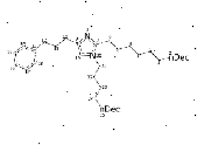 CCCCCCCCCCCCCCCCc1nc(CCCc2ccccc2)cn1CCCCCCCCCCCCCC